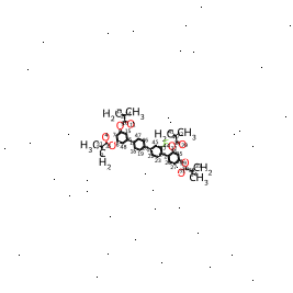 C=C(C)C(=O)Oc1cc(OC(=O)C(=C)C)cc(-c2ccc(-c3ccc(-c4ccc(OC(=O)C(=C)C)cc4OC(=O)C(=C)C)c(F)c3)cc2)c1